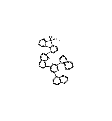 CC1(C)c2ccccc2-c2c(-c3ccc4cccc(-c5nc(-c6cccc7ccccc67)nc(-c6cccc7ccccc67)n5)c4c3)cccc21